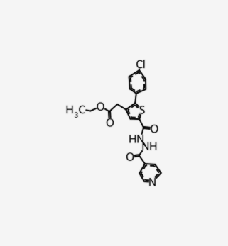 CCOC(=O)Cc1cc(C(=O)NNC(=O)c2ccncc2)sc1-c1ccc(Cl)cc1